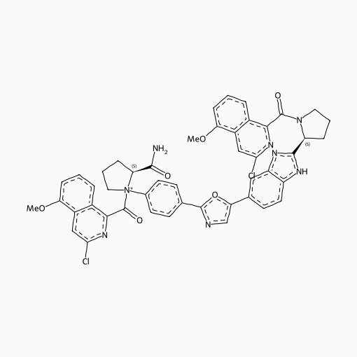 COc1cccc2c(C(=O)N3CCC[C@H]3c3nc4cc(-c5cnc(-c6ccc([N+]7(C(=O)c8nc(Cl)cc9c(OC)cccc89)CCC[C@H]7C(N)=O)cc6)o5)ccc4[nH]3)nc(Cl)cc12